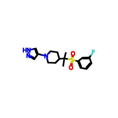 CC(C)(C1CCN(c2cn[nH]c2)CC1)S(=O)(=O)c1cccc(F)c1